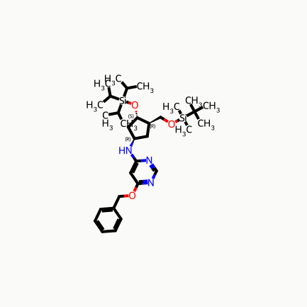 CC(C)[Si](O[C@H]1C[C@H](Nc2cc(OCc3ccccc3)ncn2)C[C@@H]1CO[Si](C)(C)C(C)(C)C)(C(C)C)C(C)C